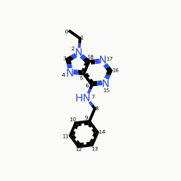 CCn1cnc2c(NCc3ccccc3)ncnc21